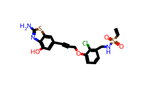 C=CS(=O)(=O)NCc1cccc(OCC#Cc2cc(O)c3nc(N)sc3c2)c1Cl